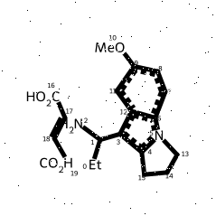 CCC(N)c1c2n(c3ccc(OC)cc13)CCC2.O=C(O)C=CC(=O)O